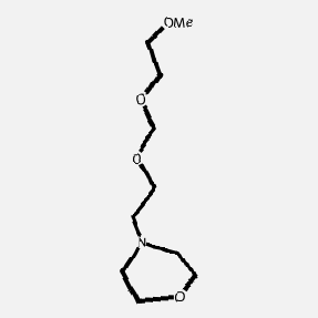 COCCOCOCCN1CCOCC1